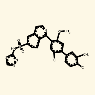 COc1cc(-c2ccc(Cl)c(C)c2)c(Cl)cc1-c1nccc2cc(S(=O)(=O)Nc3nncs3)ccc12